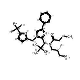 COCC(=O)N(C[C@H](F)CN)[C@@H](c1nc(-c2ccccc2)cn1Cc1ccc(C(F)(F)F)o1)C(C)(C)C